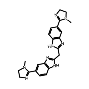 CN1CCN=C1c1ccc2[nH]c(Cc3nc4cc(C5=NCCN5C)ccc4[nH]3)nc2c1